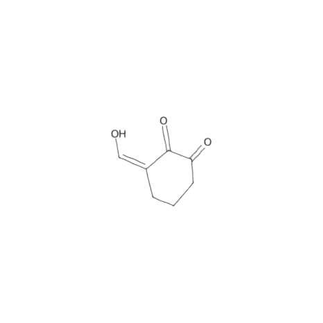 O=C1CCCC(=CO)C1=O